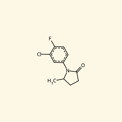 CC1CCC(=O)N1c1ccc(F)c(Cl)c1